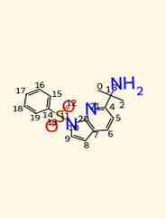 CC(C)(N)c1ccc2ccn(S(=O)(=O)c3ccccc3)c2n1